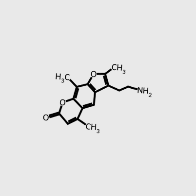 Cc1oc2c(C)c3oc(=O)cc(C)c3cc2c1CCN